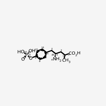 CC(C[C@@H](N)Cc1ccc(OP(=O)(O)O)cc1)C(=O)O